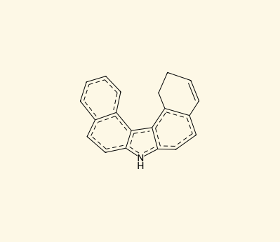 C1=Cc2ccc3[nH]c4ccc5ccccc5c4c3c2CC1